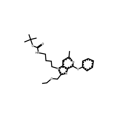 CCOCc1nc2c(Oc3ccccc3)nc(C)cc2n1CCCCNC(=O)OC(C)(C)C